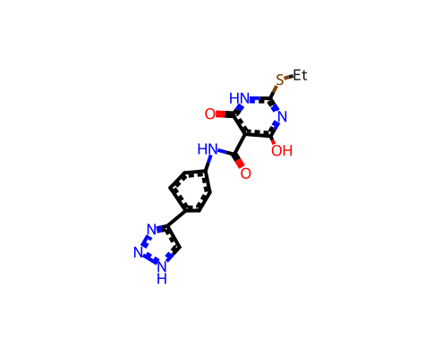 CCSc1nc(O)c(C(=O)Nc2ccc(-c3c[nH]nn3)cc2)c(=O)[nH]1